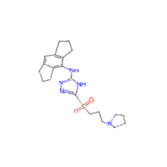 O=S(=O)(CCCN1CCCC1)c1nnc(Nc2c3c(cc4c2CCC4)CCC3)[nH]1